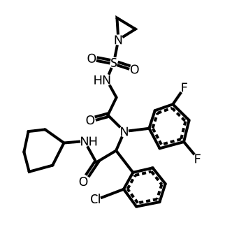 O=C(NC1CCCCC1)C(c1ccccc1Cl)N(C(=O)CNS(=O)(=O)N1CC1)c1cc(F)cc(F)c1